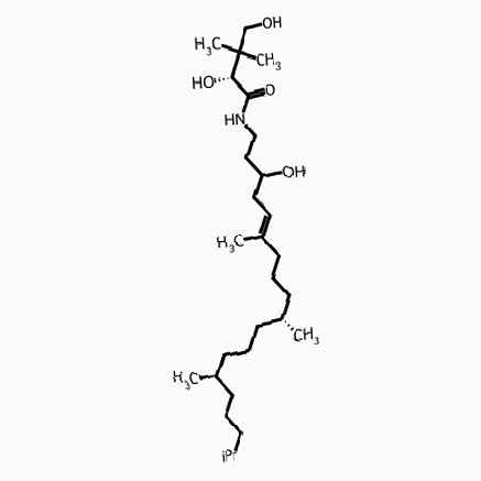 C/C(=C\CC(O)CCNC(=O)[C@H](O)C(C)(C)CO)CCC[C@H](C)CCC[C@H](C)CCCC(C)C